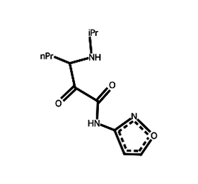 CCCC(NC(C)C)C(=O)C(=O)Nc1ccon1